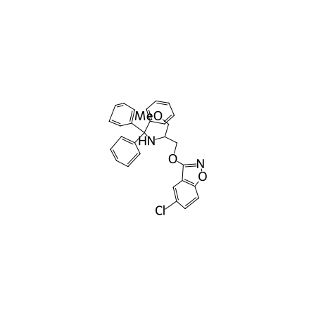 COCC(COc1noc2ccc(Cl)cc12)NC(c1ccccc1)(c1ccccc1)c1ccccc1